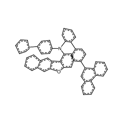 c1ccc(-c2ccc(N(c3ccccc3-c3ccc(-c4cc5ccccc5c5ccccc45)cc3)c3cccc4oc5cc6ccccc6cc5c34)cc2)cc1